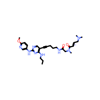 CCCNc1nc(Nc2ccc(OC)nc2)ncc1C#CCCCNC(=O)CN(C)C(=O)/C=C/CN(C)C